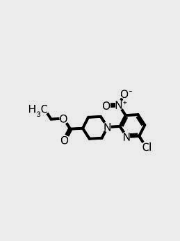 CCOC(=O)C1CCN(c2nc(Cl)ccc2[N+](=O)[O-])CC1